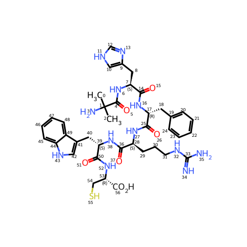 CC(C)(N)C(=O)N[C@@H](Cc1c[nH]cn1)C(=O)N[C@H](Cc1ccccc1)C(=O)N[C@@H](CCCNC(=N)N)C(=O)N[C@@H](Cc1c[nH]c2ccccc12)C(=O)N[C@@H](CS)C(=O)O